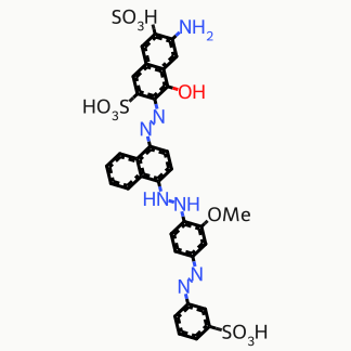 COc1cc(N=Nc2cccc(S(=O)(=O)O)c2)ccc1NNc1ccc(N=Nc2c(S(=O)(=O)O)cc3cc(S(=O)(=O)O)c(N)cc3c2O)c2ccccc12